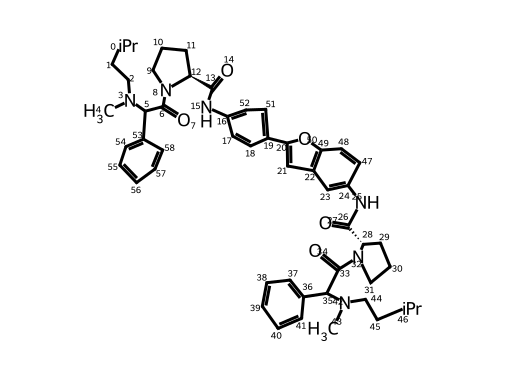 CC(C)CCN(C)C(C(=O)N1CCC[C@H]1C(=O)Nc1ccc(-c2cc3cc(NC(=O)[C@@H]4CCCN4C(=O)C(c4ccccc4)N(C)CCC(C)C)ccc3o2)cc1)c1ccccc1